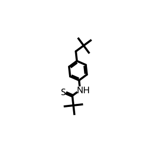 CC(C)(C)Cc1ccc(NC(=S)C(C)(C)C)cc1